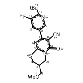 COC[C@H]1CSc2nc(-c3cnc(C(C)(C)C)c(F)c3)c(C#N)c(=O)n2C1